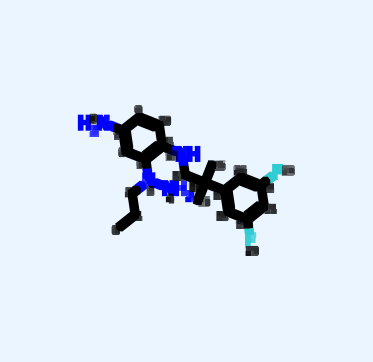 CCCN(N)c1cc(N)ccc1NCC(C)(C)c1cc(F)cc(F)c1